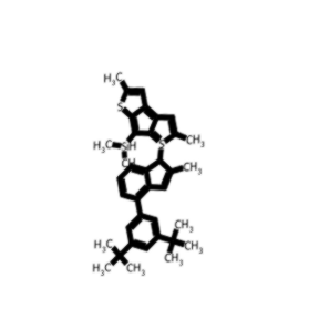 CC1=Cc2c(-c3cc(C(C)(C)C)cc(C(C)(C)C)c3)cccc2C1S1=C2C(=c3cc(C)sc3=C2[SiH](C)C)C=C1C